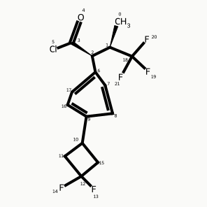 C[C@H]([C@H](C(=O)Cl)c1ccc(C2CC(F)(F)C2)cc1)C(F)(F)F